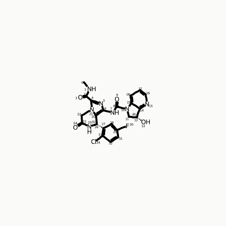 CNC(=O)c1nc(NC(=O)N2C[C@@H](O)c3ncccc32)c2n1CC(=O)N[C@H]2c1cc(F)ccc1Cl